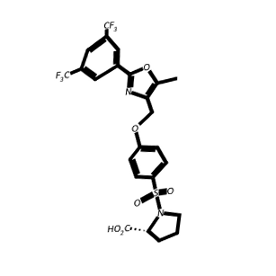 Cc1oc(-c2cc(C(F)(F)F)cc(C(F)(F)F)c2)nc1COc1ccc(S(=O)(=O)N2CCC[C@@H]2C(=O)O)cc1